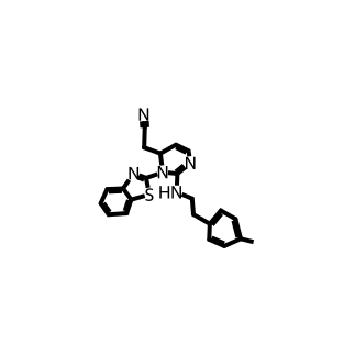 Cc1ccc(CCNC2=NC=CC(CC#N)N2c2nc3ccccc3s2)cc1